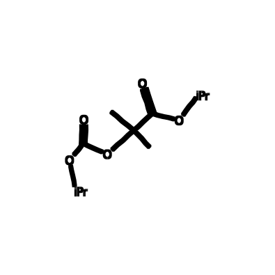 CC(C)OC(=O)OC(C)(C)C(=O)OC(C)C